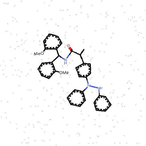 COc1ccccc1C(NC(=O)C(C)c1ccc(N(Nc2ccccc2)c2ccccc2)cc1)c1ccccc1OC